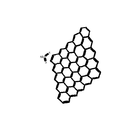 [S]=[Mo]=[S].c1cc2cc3cc4cc5ccc6cc7cc8cc9cccc%10cc%11cc%12cc%13ccc%14cc%15cc%16cc(c1)c2c1c3c2c4c3c5c6c4c7c5c8c(c9%10)c%11c6c%12c7c%13c%14c8c%15c(c%161)c2c1c3c4c(c56)c7c81